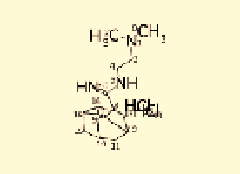 CN(C)CCNC(=N)C12CC3CC(CC(C3)C1)C2.Cl.Cl